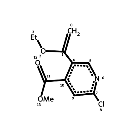 C=C(OCC)c1cnc(Cl)cc1C(=O)OC